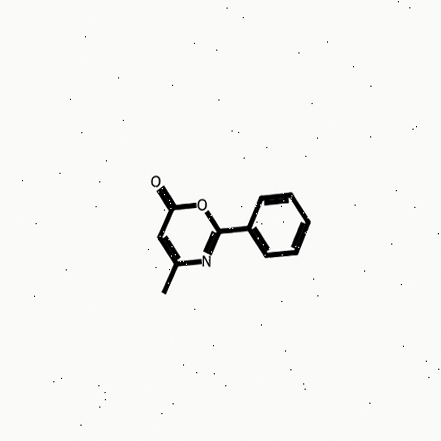 Cc1cc(=O)oc(-c2ccccc2)n1